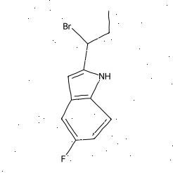 CCC(Br)c1cc2cc(F)ccc2[nH]1